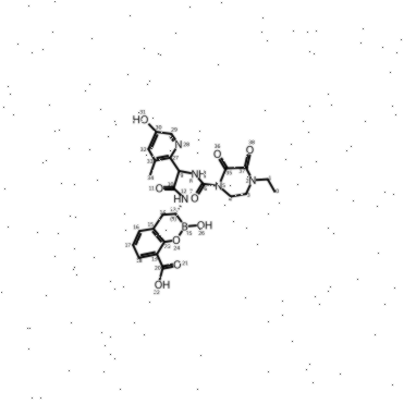 CCN1CCN(C(=O)NC(C(=O)N[C@H]2Cc3cccc(C(=O)O)c3OB2O)c2ncc(O)cc2C)C(=O)C1=O